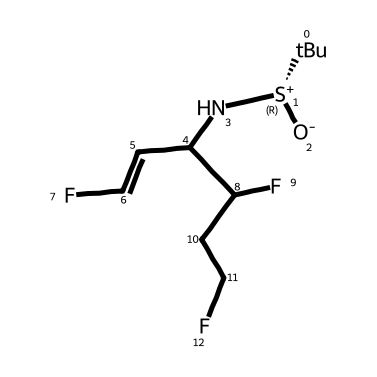 CC(C)(C)[S@+]([O-])NC(C=CF)C(F)CCF